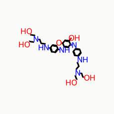 O=C1C=C(O)/C(=N/c2ccc(NCCCN(CCO)CCO)cc2)C=C1Nc1ccc(NCCCN(CCO)CCO)cc1